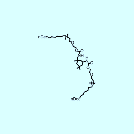 CCCCCCCCCCCCCCCC[N+](C)(C)CCOCCOC(=O)NCC1(C)CC(NC(=O)OCCOCC[N+](C)(C)CCCCCCCCCCCCCCCC)CC(C)(C)C1